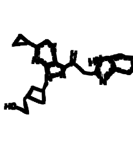 OC[C@H]1C[C@@H](n2nc(NCc3nc4ccccc4[nH]3)c3ncc(C4CC4)nc32)C1